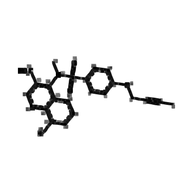 CC#CCOc1ccc(S(=O)(=O)N(C)c2c(C(=O)O)cnc3c(Br)cccc23)cc1